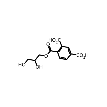 O=C(O)c1ccc(C(=O)OCC(O)CO)c(C(=O)O)c1